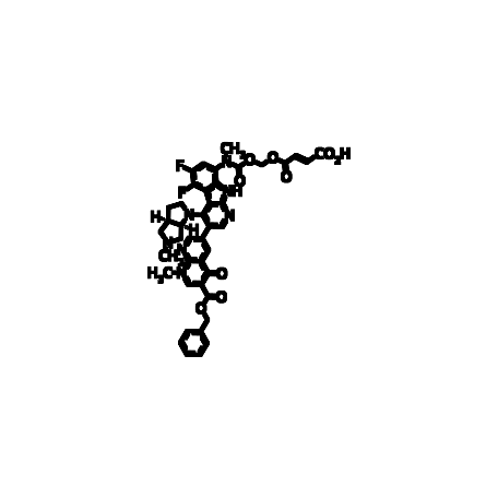 CN1C[C@H]2CCN(c3c(-c4cnc5c(c4)c(=O)c(C(=O)OCc4ccccc4)cn5C)cnc4[nH]c5c(N(C)C(=O)OCOC(=O)/C=C/C(=O)O)cc(F)c(F)c5c34)[C@H]2C1